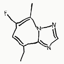 Cc1cc(F)c(C)n2ncnc12